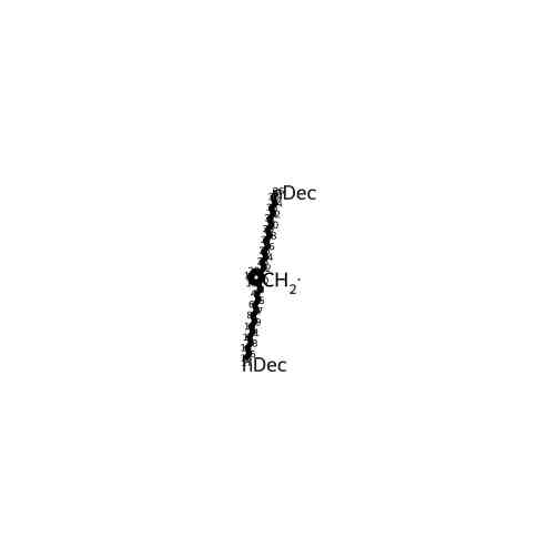 [CH2]c1c(CCCCCCCCCCCCCCCCCCCCCCCC)cccc1CCCCCCCCCCCCCCCCCCCCCCCC